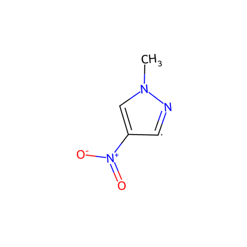 Cn1cc([N+](=O)[O-])[c]n1